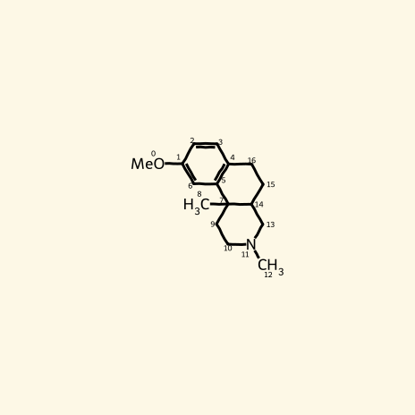 COc1ccc2c(c1)C1(C)CCN(C)CC1CC2